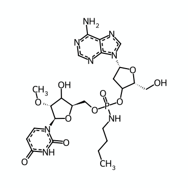 CCCCNP(=O)(OC[C@H]1O[C@@H](n2ccc(=O)[nH]c2=O)[C@H](OC)C1O)OC1C[C@H](n2cnc3c(N)ncnc32)O[C@@H]1CO